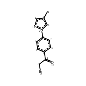 Cc1cnn(-c2ccc(C(=O)CBr)cc2)c1